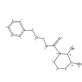 O=C(OCOCc1ccccc1)N1CCCC(O)C1O